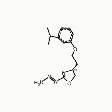 CC(C)c1cccc(OCC[C@H]2COC(N=NN)=N2)c1